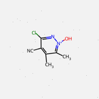 Cc1c(C#N)c(Cl)n[n+](O)c1C